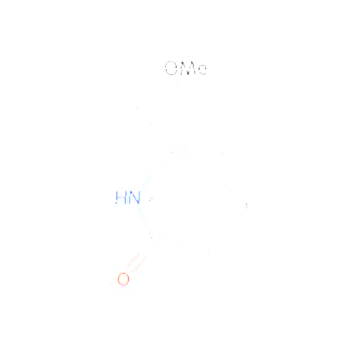 COC[C@@H]1CCCC(=O)N1